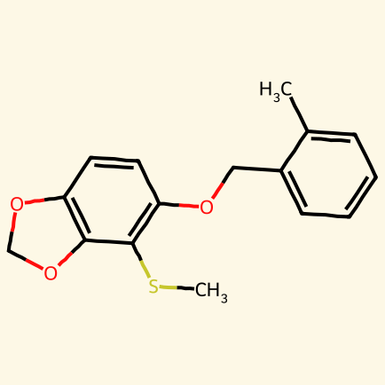 CSc1c(OCc2ccccc2C)ccc2c1OCO2